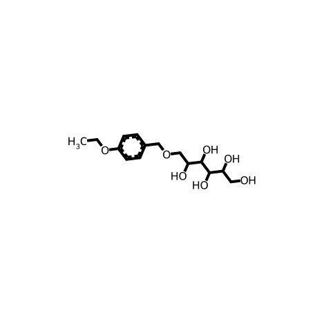 CCOc1ccc(COCC(O)C(O)C(O)C(O)CO)cc1